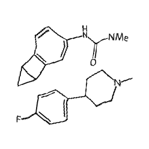 CN1CCC(c2ccc(F)cc2)CC1.CNC(=O)Nc1ccc2c(c1)C1CC21